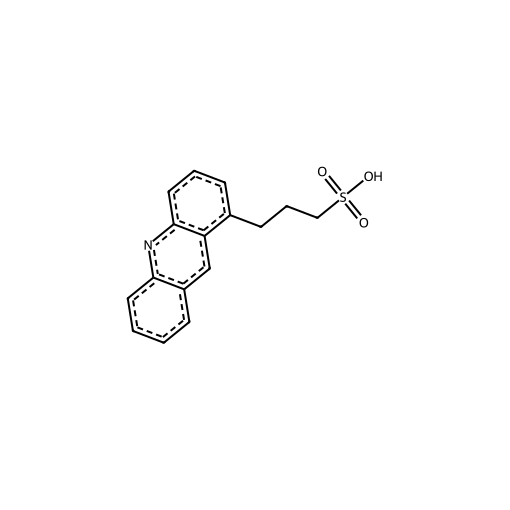 O=S(=O)(O)CCCc1cccc2nc3ccccc3cc12